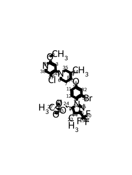 COc1cc(N2CC[C@@H](Oc3ccc(N4N=C(C(F)(F)F)[C@@H](C)[C@@H]4COS(C)(=O)=O)c(Br)c3)[C@H](C)C2)c(Cl)cn1